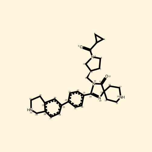 O=C(C1CC1)N1CC[C@@H](CN2C(=O)C3(CCNCC3)N=C2c2ccc(-c3ccc4c(c3)CCNC4)cc2)C1